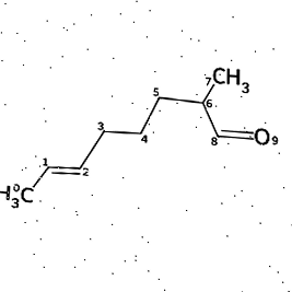 CC=CCCCC(C)C=O